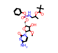 COC1C(O)[C@@H](COP(=O)(NCC(C)OC(=O)C(C)(C)C)Oc2ccccc2)O[C@H]1n1ccc(N)nc1=O